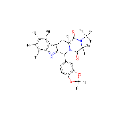 [2H]c1c([2H])c([2H])c2c3c([nH]c2c1[2H])C(c1ccc2c(c1)OC([2H])([2H])O2)N1C(=O)C([2H])([2H])N(C([2H])([2H])[2H])C(=O)[C@H]1C3